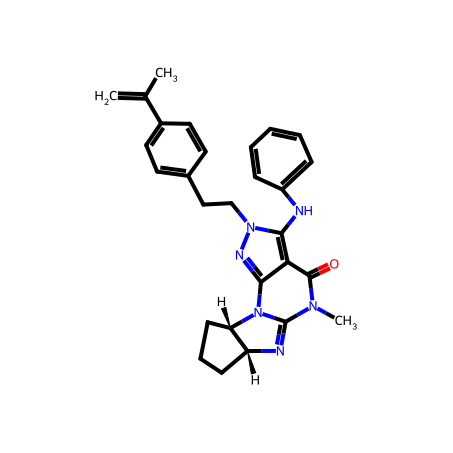 C=C(C)c1ccc(CCn2nc3c(c2Nc2ccccc2)C(=O)N(C)C2=N[C@@H]4CCC[C@@H]4N23)cc1